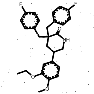 CCOc1cc(C2CNC(=O)C(Cc3ccc(F)cc3)(Cc3ccc(F)cc3)C2)ccc1OC